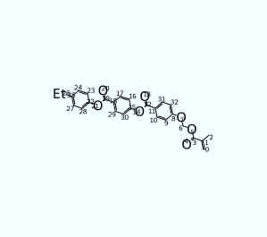 C=C(C)C(=O)OCOc1ccc(C(=O)Oc2ccc(C(=O)Oc3ccc(CC)cc3)cc2)cc1